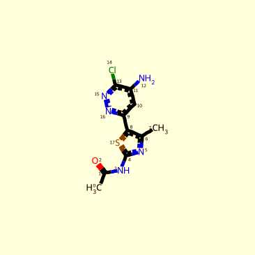 CC(=O)Nc1nc(C)c(-c2cc(N)c(Cl)nn2)s1